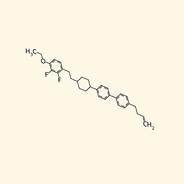 C=CCCc1ccc(-c2ccc(C3CCC(CCc4ccc(OCC)c(F)c4F)CC3)cc2)cc1